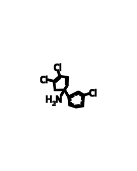 NC1(c2cccc(Cl)c2)C=CC(Cl)=C(Cl)C1